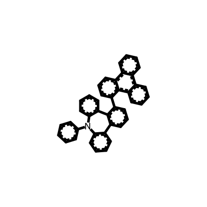 c1ccc(N2c3ccccc3-c3cccc(-c4cccc5c6ccccc6c6ccccc6c45)c3-c3ccccc32)cc1